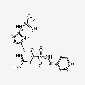 N=C(N)CC(SCc1csc(NC(=N)N)n1)S(=O)(=O)NCc1ccccc1